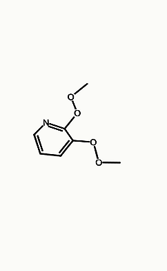 COOc1cccnc1OOC